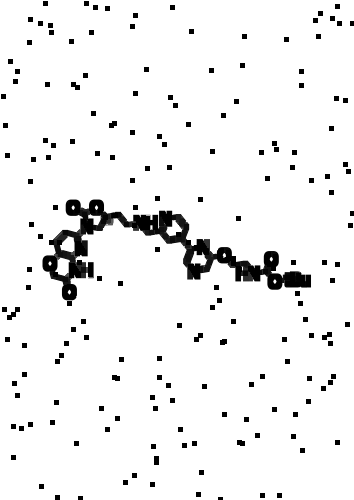 CC(C)(C)OC(=O)NCCOc1cncc(-c2ccnc(CNCC[C@H]3CN(c4ccc5c(n4)NC(=O)CO5)C(=O)O3)c2)n1